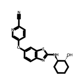 N#Cc1ccc(Oc2ccc3nc(N[C@@H]4CCCC[C@H]4O)sc3c2)cn1